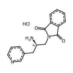 Cl.N[C@H](Cc1cccnc1)CN1C(=O)c2ccccc2C1=O